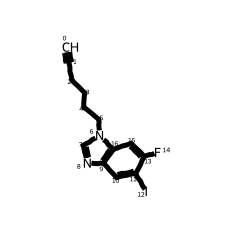 C#CCCCCn1cnc2cc(I)c(F)cc21